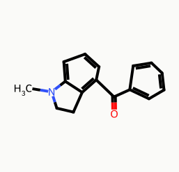 CN1CCc2c(C(=O)c3ccccc3)cccc21